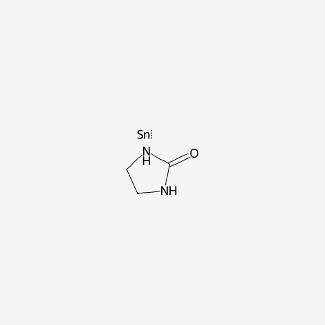 O=C1NCCN1.[Sn]